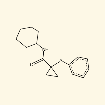 O=C(NC1CCCCC1)C1(Sc2ccccc2)CC1